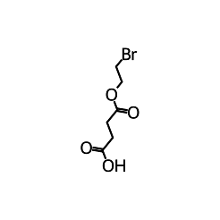 O=C(O)CCC(=O)OCCBr